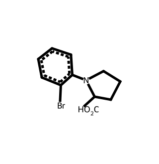 O=C(O)C1CCCN1c1ccccc1Br